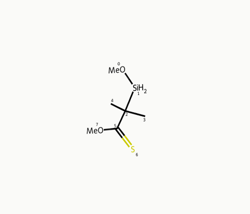 CO[SiH2]C(C)(C)C(=S)OC